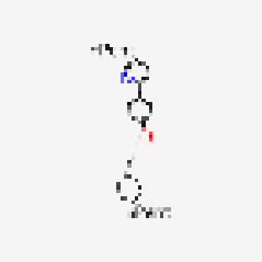 CCCCCc1ccc(-c2ccc(OCCCC3CCC(CCCCC)CC3)cc2)nc1